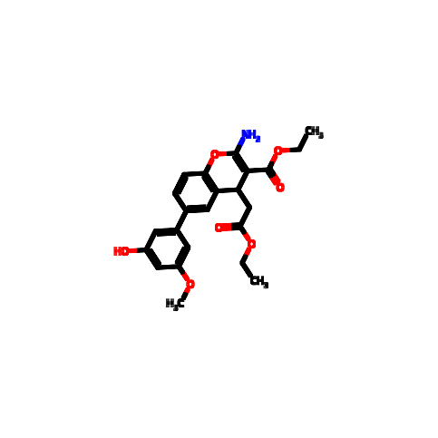 CCOC(=O)CC1C(C(=O)OCC)=C(N)Oc2ccc(-c3cc(O)cc(OC)c3)cc21